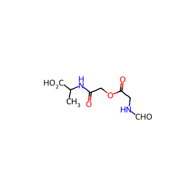 CC(NC(=O)COC(=O)CNC=O)C(=O)O